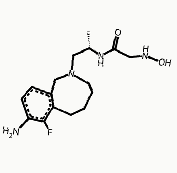 C[C@@H](CN1CCCCc2c(ccc(N)c2F)C1)NC(=O)CNO